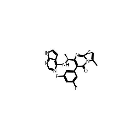 Cc1csc2nc([C@H](C)Nc3ncnc4[nH]ccc34)c(-c3cc(F)cc(F)c3)c(=O)n12